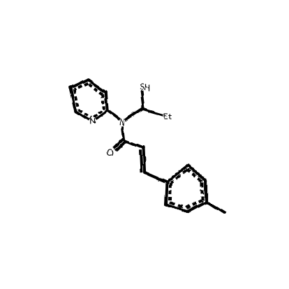 CCC(S)N(C(=O)/C=C/c1ccc(C)cc1)c1ccccn1